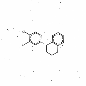 Clc1ccc([C@H]2CCCc3ccccc32)cc1Cl